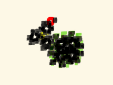 COc1ccc([S+](c2ccccc2)c2ccccc2)cc1.Fc1c(F)c(F)[c]([Ga-]([c]2c(F)c(F)c(F)c(F)c2F)([c]2c(F)c(F)c(F)c(F)c2F)[c]2c(F)c(F)c(F)c(F)c2F)c(F)c1F